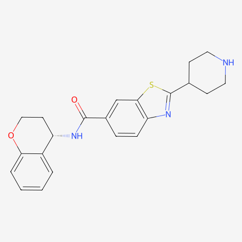 O=C(N[C@H]1CCOc2ccccc21)c1ccc2nc(C3CCNCC3)sc2c1